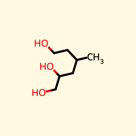 CC(CCO)CC(O)CO